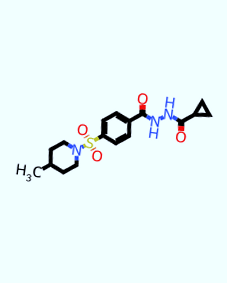 CC1CCN(S(=O)(=O)c2ccc(C(=O)NNC(=O)C3CC3)cc2)CC1